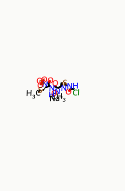 CON=C(C(=O)N[C@@H]1C(=O)N(S(=O)(=O)[O-])[C@@H]1CSC)c1csc(NC(=O)CCl)n1.[Na+]